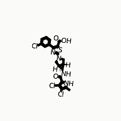 Cc1[nH]c(C(=O)N[C@H]2[C@@H]3CN(c4nc(-c5cccc(Cl)c5)c(C(=O)O)s4)C[C@@H]32)c(Cl)c1Cl